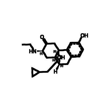 CCN[C@H]1C[C@@]2(O)[C@H]3Cc4ccc(O)cc4[C@@]2(CCN3CC2CC2)CC1=O